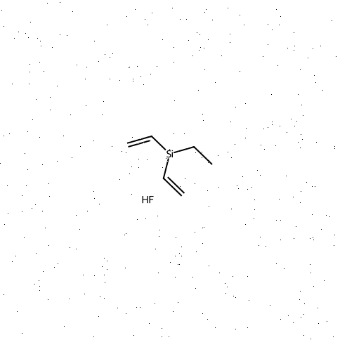 C=C[Si](C=C)CC.F